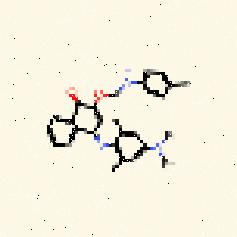 CCN(CC)c1cc(C)c(N=C2C=C(OCNc3ccc(C)cc3)C(=O)c3ccccc32)c(C)c1